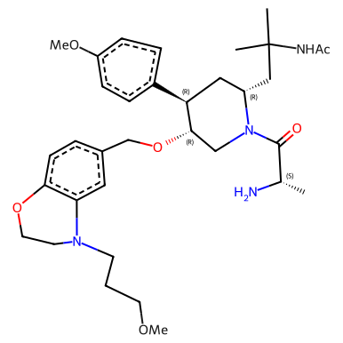 COCCCN1CCOc2ccc(CO[C@H]3CN(C(=O)[C@H](C)N)[C@@H](CC(C)(C)NC(C)=O)C[C@@H]3c3ccc(OC)cc3)cc21